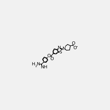 COC(=O)C1CCN(c2nc3ccc(C(=O)Oc4ccc(C(=N)N)cc4)cc3s2)CC1